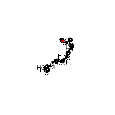 CN(CCOC(=O)c1ccc(COc2cccc([C@@H](NC(=O)OC3CN4CCC3CC4)c3ccccc3)c2)cc1)C(=O)Nc1ccc(CNCC(O)c2ccc(O)c3[nH]c(=O)ccc23)cc1